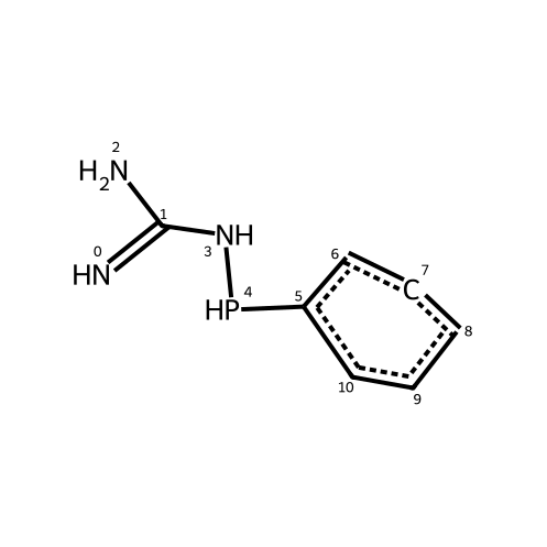 N=C(N)NPc1ccccc1